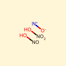 O=NO.O=[N+]([O-])O.[N+][O-]